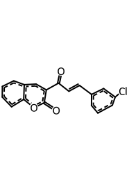 O=C(C=Cc1cccc(Cl)c1)c1cc2ccccc2oc1=O